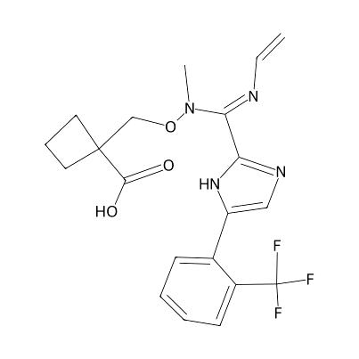 C=C/N=C(/c1ncc(-c2ccccc2C(F)(F)F)[nH]1)N(C)OCC1(C(=O)O)CCC1